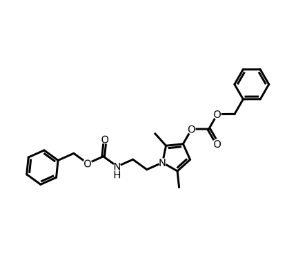 Cc1cc(OC(=O)OCc2ccccc2)c(C)n1CCNC(=O)OCc1ccccc1